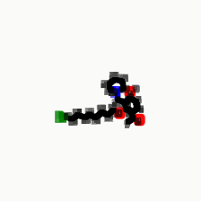 COc1ccc(C(C)=O)c(OCCCCCCCCBr)c1CN1CCCCC1